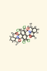 CC(C)c1cccc(C(C)C)c1N1C(=O)c2c(Cl)c(Cl)c3c4c(c(Cl)c(Cl)c(c24)C1=O)C(=O)N(c1c(C(C)C)cccc1C(C)C)C3=O